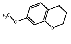 FC(F)(F)Oc1[c]cc2c(c1)OCCC2